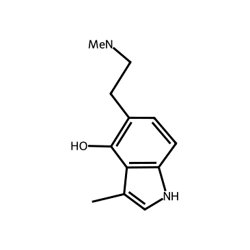 CNCCc1ccc2[nH]cc(C)c2c1O